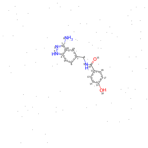 Nc1n[nH]c2ccc(CNC(=O)c3ccc(O)cc3)cc12